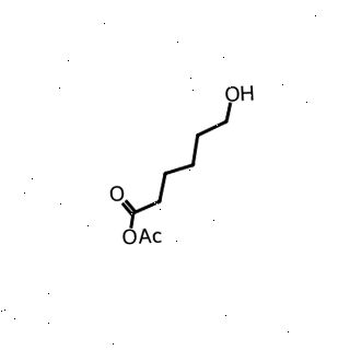 CC(=O)OC(=O)CCCCCO